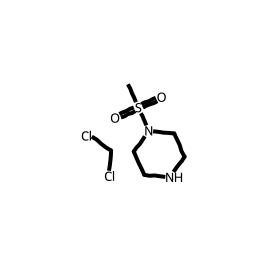 CS(=O)(=O)N1CCNCC1.ClCCl